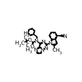 Cc1cc2c(C#N)cccc2n1-c1nc(N(Cc2ccccc2)C(=O)OC(C)(C)C)c2nccn2n1